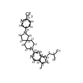 Cc1nn(CC(F)F)c2nc(N3CCC4(CCN(c5ccc(C(F)(F)F)nc5)C4)CC3)ncc12